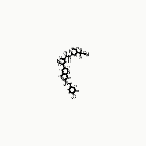 COc1ccc(CN(C)c2cc3ncc(-c4cc(C(=O)Nc5cc(C(C)(C)C#N)ccn5)cnn4)cc3cn2)cc1